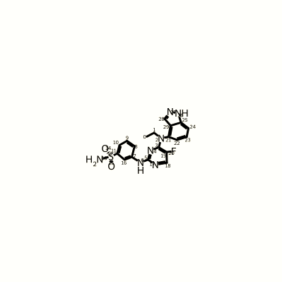 CCN(c1nc(Nc2cccc(S(N)(=O)=O)c2)ncc1F)c1cccc2[nH]ncc12